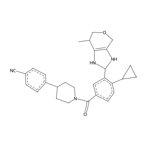 CC1COCC2=C1NC(c1cc(C(=O)N3CCC(c4ccc(C#N)cc4)CC3)ccc1C1CC1)N2